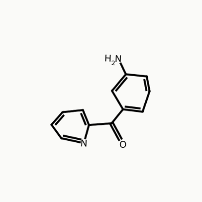 Nc1cccc(C(=O)c2ccccn2)c1